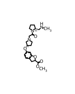 CNC[C@@H]1CCCN1C(=O)CN1CC[C@H](Oc2ccc3c(c2)OC(C(=O)OC)C3)C1